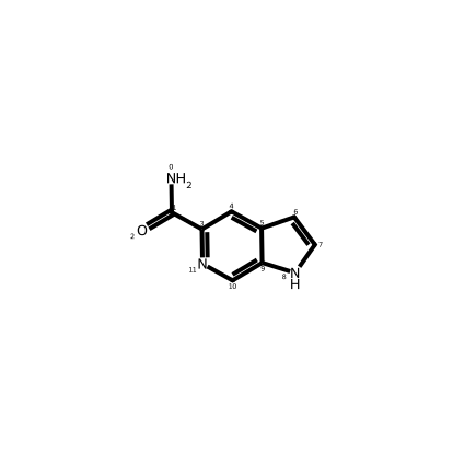 NC(=O)c1cc2cc[nH]c2cn1